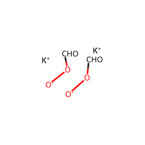 O=CO[O-].O=CO[O-].[K+].[K+]